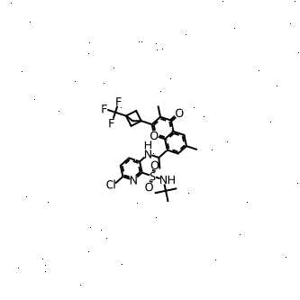 Cc1cc(C(C)Nc2ccc(Cl)nc2S(=O)(=O)NC(C)(C)C)c2oc(C34CC(C(F)(F)F)(C3)C4)c(C)c(=O)c2c1